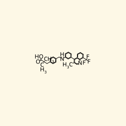 Cc1cnc2c(C(F)(F)F)cccc2c1-c1cccc(NCc2ccc(CC(C)(C)C(=O)O)cc2)c1